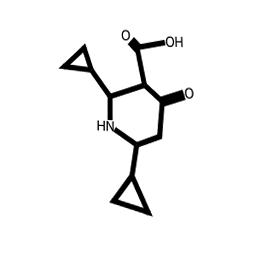 O=C(O)C1C(=O)CC(C2CC2)NC1C1CC1